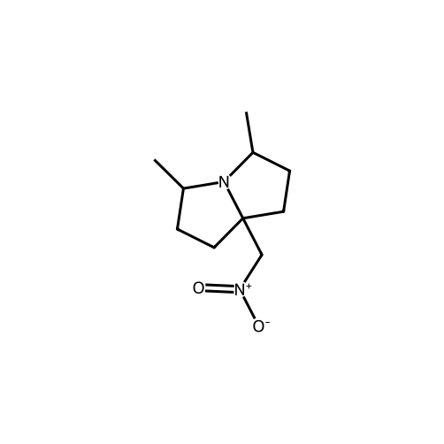 CC1CCC2(C[N+](=O)[O-])CCC(C)N12